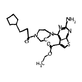 CCOC(=O)c1csc2nc(N)nc(N3CCN(C(=O)CCC4CCCC4)CC3)c12